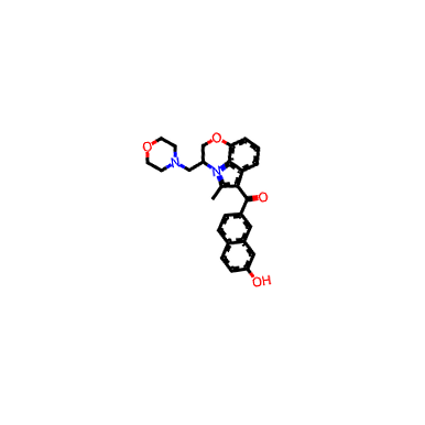 Cc1c(C(=O)c2ccc3ccc(O)cc3c2)c2cccc3c2n1C(CN1CCOCC1)CO3